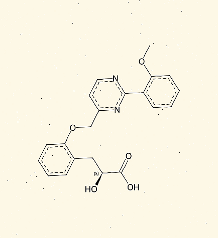 COc1ccccc1-c1nccc(COc2ccccc2C[C@H](O)C(=O)O)n1